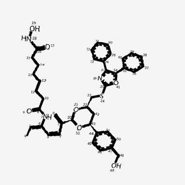 C=C(/C=C\C(=C/C)NC(=O)CCCCCCC(=O)NO)[C@H]1O[C@@H](CSc2nc(-c3ccccc3)c(-c3ccccc3)o2)C[C@@H](c2ccc(CO)cc2)O1